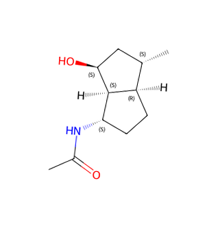 CC(=O)N[C@H]1CC[C@H]2[C@@H]1[C@@H](O)C[C@@H]2C